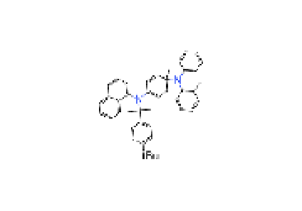 CC1C=CC=CC1N(c1ccccc1)C1(C)C=CC(N(c2cccc3ccccc23)C(C)(C)c2ccc(C(C)(C)C)cc2)=CC1